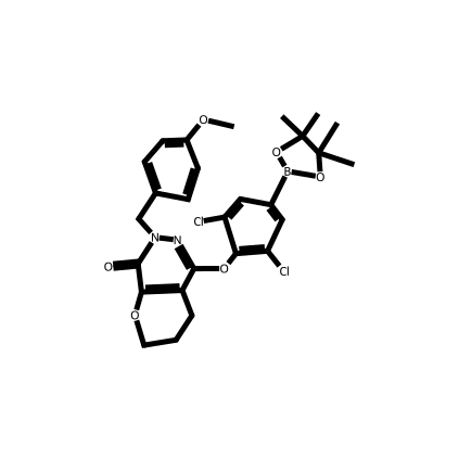 COc1ccc(Cn2nc(Oc3c(Cl)cc(B4OC(C)(C)C(C)(C)O4)cc3Cl)c3c(c2=O)OCCC3)cc1